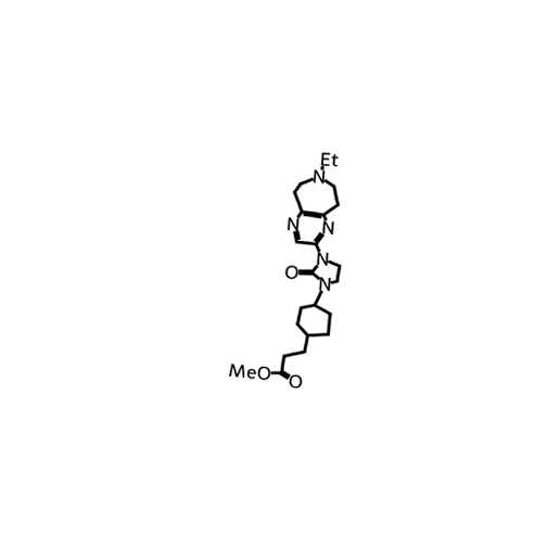 CCN1CCc2ncc(N3CCN(C4CCC(CCC(=O)OC)CC4)C3=O)nc2CC1